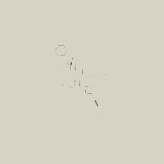 CC(C)(C)C#Cc1cc(N(C(=O)[C@H]2CC[C@H](C)CC2)[C@H]2CCN(S(=O)(=O)c3ccccc3)C2)c(C(=O)O)s1